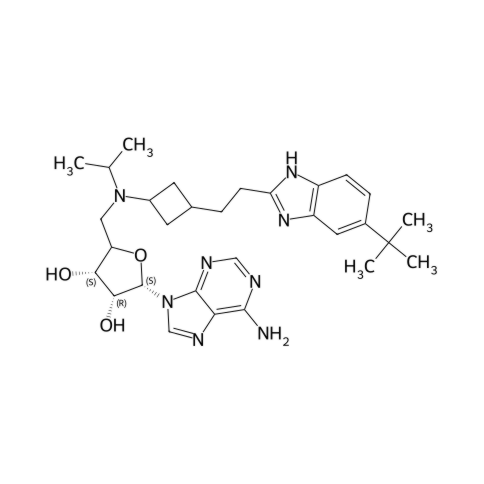 CC(C)N(CC1O[C@H](n2cnc3c(N)ncnc32)[C@H](O)[C@@H]1O)C1CC(CCc2nc3cc(C(C)(C)C)ccc3[nH]2)C1